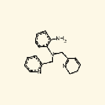 Nc1ccccc1N(CC1=NCCC=C1)Cc1ccccn1